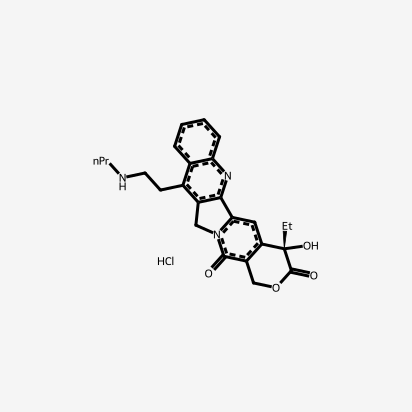 CCCNCCc1c2c(nc3ccccc13)-c1cc3c(c(=O)n1C2)COC(=O)[C@]3(O)CC.Cl